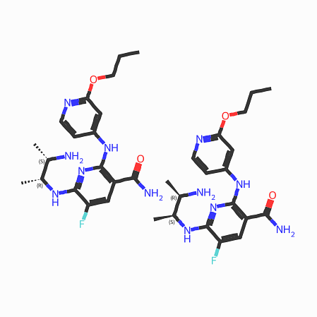 CCCOc1cc(Nc2nc(N[C@@H](C)[C@@H](C)N)c(F)cc2C(N)=O)ccn1.CCCOc1cc(Nc2nc(N[C@H](C)[C@H](C)N)c(F)cc2C(N)=O)ccn1